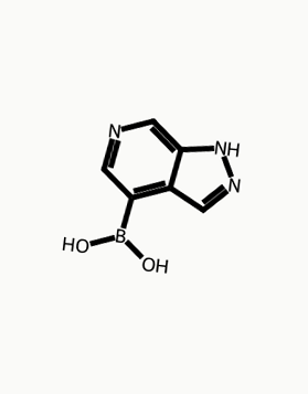 OB(O)c1cncc2[nH]ncc12